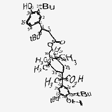 CC(C)(C)c1cc(C(CC(=O)OCCN2C(C)(C)CC(C(C)(C(=O)O)c3cc(C(C)(C)C)c(O)c(C(C)(C)C)c3)CC2(C)C)C(C)(C)C)ccc1O